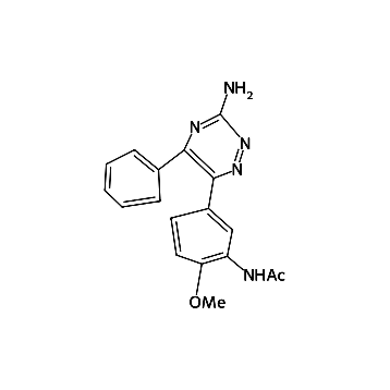 COc1ccc(-c2nnc(N)nc2-c2ccccc2)cc1NC(C)=O